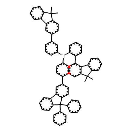 CC1(C)c2ccccc2-c2cc(-c3cccc(N(c4ccc(-c5ccc6c(c5)-c5ccccc5C6(c5ccccc5)c5ccccc5)cc4)c4ccccc4-c4cccc5c4-c4ccccc4C5(C)C)c3)ccc21